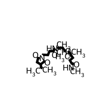 CNC(=O)CCC(C)(C)OCCC(C)(C)NC(=O)CCCN1C(=O)CC(C(C)C)C1=O